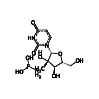 C[C@]1(O)[C@H](O)[C@@H](CO)O[C@H]1n1ccc(=O)[nH]c1=O.NP(O)O